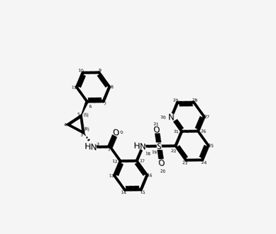 O=C(N[C@@H]1C[C@H]1c1ccccc1)c1ccccc1NS(=O)(=O)c1cccc2cccnc12